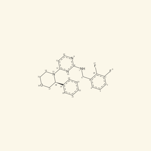 Fc1cccc(CNc2nccc(N3CCOC[C@@H]3c3ccccc3)n2)c1F